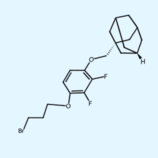 Fc1c(OCCCBr)ccc(OC[C@]23CC4CC(C[C@H](C4)C2)C3)c1F